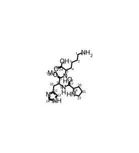 NCCCCC(NC(=O)C(Cc1c[nH]cn1)NC(=O)C1CCCN1)C(=O)O.[Mn]